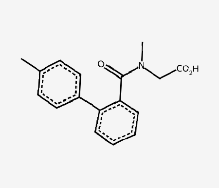 Cc1ccc(-c2ccccc2C(=O)N(C)CC(=O)O)cc1